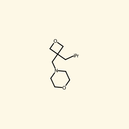 CC(C)CC1(CN2CCOCC2)COC1